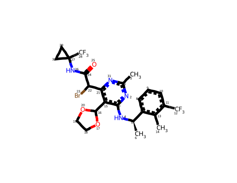 Cc1nc(N[C@H](C)c2cccc(C(F)(F)F)c2C)c(C2OCCO2)c(C(Br)C(=O)NC2(C(F)(F)F)CC2)n1